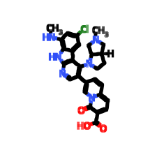 CNc1cc(Cl)cc2c1[nH]c1ncc(-c3ccc4ccc(C(=O)O)c(=O)n4c3)c(N3CC[C@H]4CN(C)CC43)c12